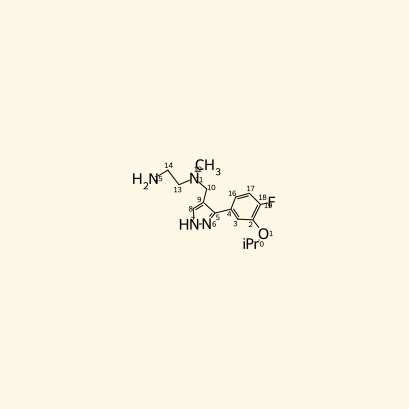 CC(C)Oc1cc(-c2n[nH]cc2CN(C)CCN)ccc1F